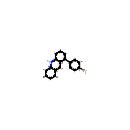 Brc1ccc(-c2cccc3nc4ccccc4cc23)cc1